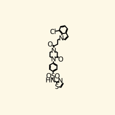 O=C(CCn1ccc2cccc(Cl)c21)N1CCN(c2ccc(S(=O)(=O)Nc3nccs3)cc2)C(=O)C1